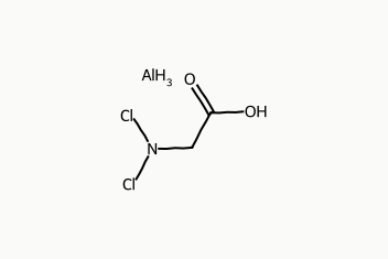 O=C(O)CN(Cl)Cl.[AlH3]